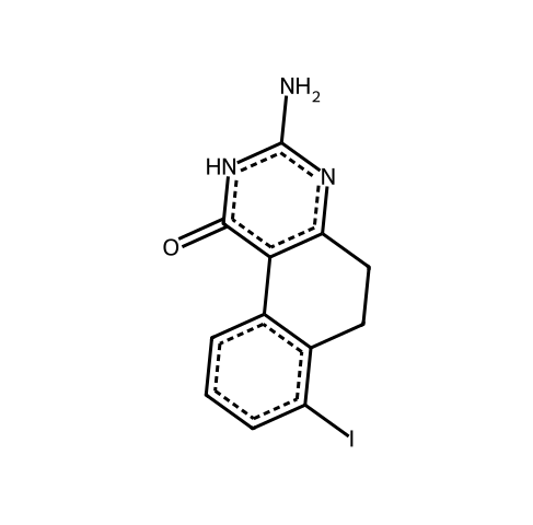 Nc1nc2c(c(=O)[nH]1)-c1cccc(I)c1CC2